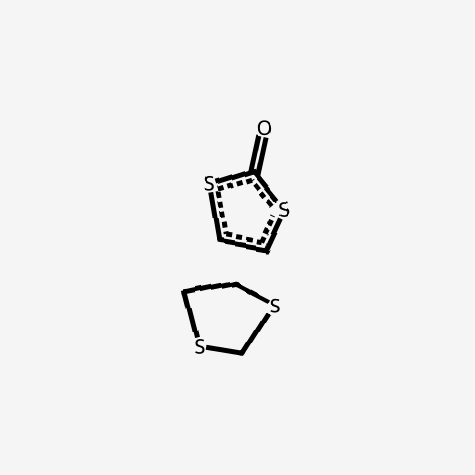 C1CSCS1.O=c1sccs1